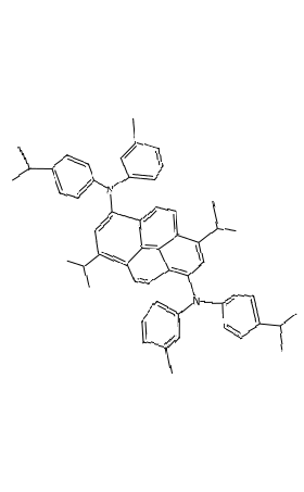 Cc1cccc(N(c2ccc(C(C)C)cc2)c2cc(C(C)C)c3ccc4c(N(c5ccc(C(C)C)cc5)c5cccc(C)c5)cc(C(C)C)c5ccc2c3c54)c1